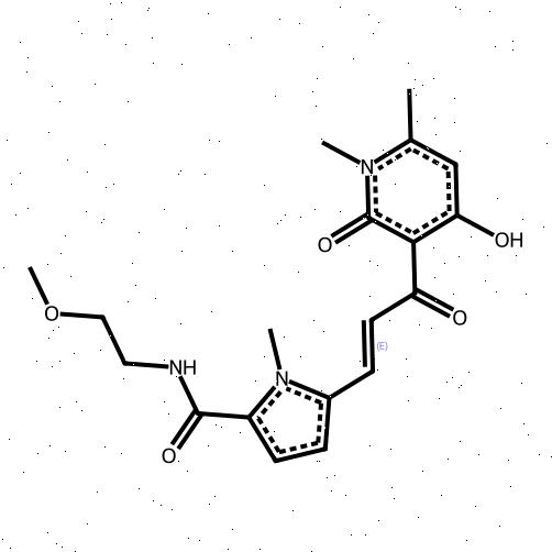 COCCNC(=O)c1ccc(/C=C/C(=O)c2c(O)cc(C)n(C)c2=O)n1C